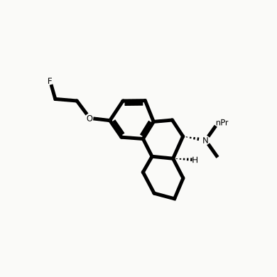 CCCN(C)[C@H]1Cc2ccc(OCCF)cc2C2CCCC[C@@H]21